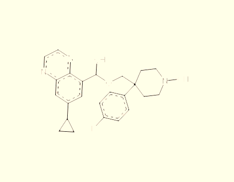 CC(OCC1(c2ccc(F)cc2)CCN(C)CC1)c1cc(C2CC2)cc2nccnc12